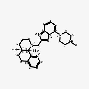 CN1CCN(c2cccc3nc(CN4CCC[C@H]5CCc6cccnc6[C@@H]54)cn23)CC1